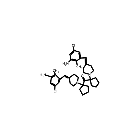 Cc1c(N)cc(Cl)cc1C=C1CCN(C2(C(=O)C3(N4CCC(=Cc5cc(Cl)cc(N)c5C)CC4)CCCC3)CCCC2)CC1